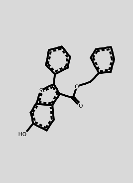 O=C(OCc1ccccc1)c1c(-c2ccccc2)sc2cc(O)ccc12